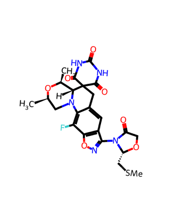 CSC[C@H]1OCC(=O)N1c1noc2c(F)c3c(cc12)CC1(C(=O)NC(=O)NC1=O)[C@H]1[C@H](C)O[C@H](C)CN31